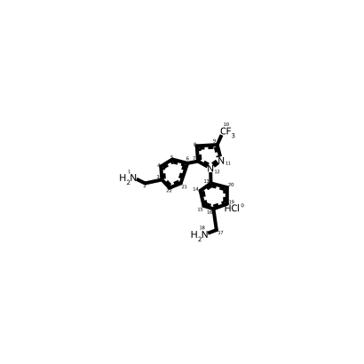 Cl.NCc1ccc(-c2cc(C(F)(F)F)nn2-c2ccc(CN)cc2)cc1